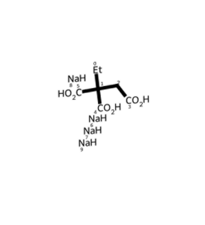 CCC(CC(=O)O)(C(=O)O)C(=O)O.[NaH].[NaH].[NaH].[NaH]